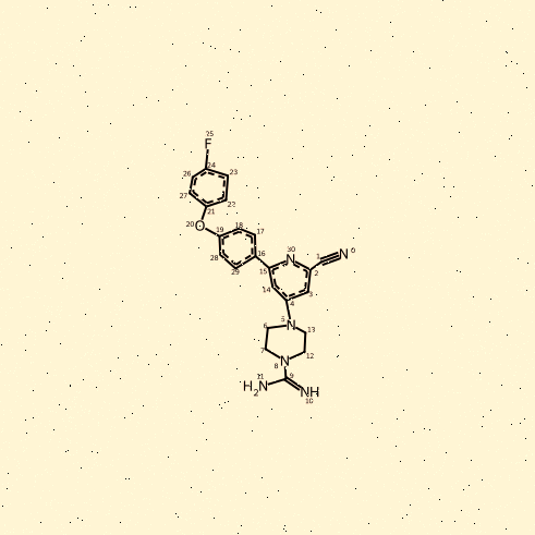 N#Cc1cc(N2CCN(C(=N)N)CC2)cc(-c2ccc(Oc3ccc(F)cc3)cc2)n1